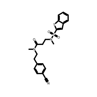 CN(CCc1ccc(C#N)cc1)C(=O)CCN(C)S(=O)(=O)c1cc2ccccc2s1